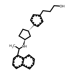 CC(N[C@H]1CC[C@H](c2ccc(CCCO)cc2)C1)c1cccc2ccccc12